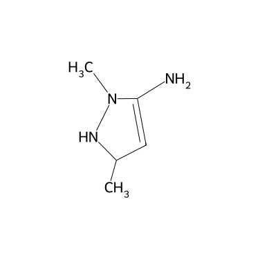 CC1C=C(N)N(C)N1